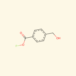 O=C(OF)c1ccc(CO)cc1